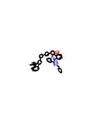 C=N/C(=N\C(=N/Cc1ccccc1)c1ccccc1)c1cccc2oc3ccc(-c4ccc(-c5cccc(-c6ccc7c(c6)C(C)(C)c6ccccc6-7)c5)cc4)cc3c12